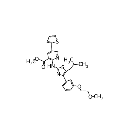 COCCOc1cccc(-c2nc(Nc3ncc(-c4cccs4)cc3C(=O)OC)sc2CC(C)C)c1